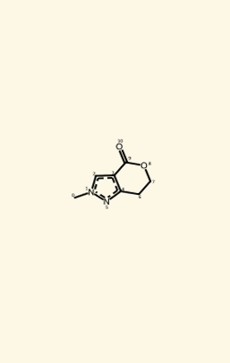 Cn1cc2c(n1)CCOC2=O